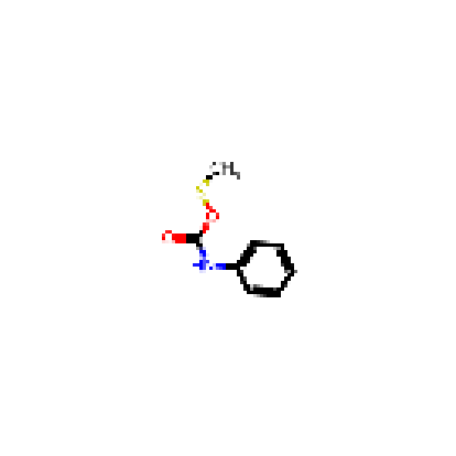 CSOC(=O)Nc1ccccc1